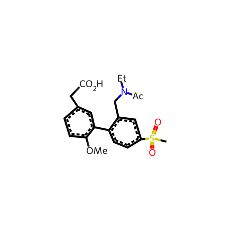 CCN(Cc1cc(S(C)(=O)=O)ccc1-c1cc(CC(=O)O)ccc1OC)C(C)=O